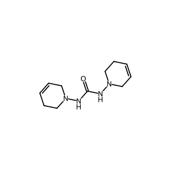 O=C(NN1CC=CCC1)NN1CC=CCC1